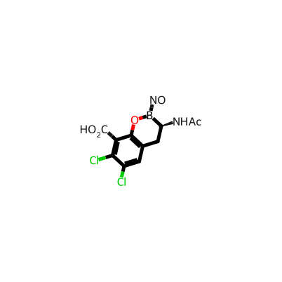 CC(=O)N[C@H]1Cc2cc(Cl)c(Cl)c(C(=O)O)c2OB1N=O